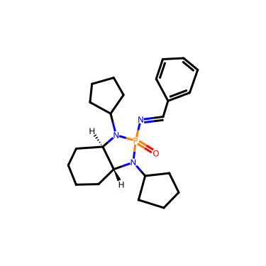 O=P1(/N=C/c2ccccc2)N(C2CCCC2)[C@@H]2CCCC[C@H]2N1C1CCCC1